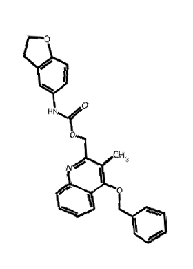 Cc1c(COC(=O)Nc2ccc3c(c2)CCO3)nc2ccccc2c1OCc1ccccc1